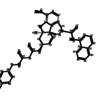 COc1ccc2c3c1O[C@@H]1C[C@H](OC(=O)CC(=O)OCc4ccc(I)cc4)C=C[C@@]31CCN(C(=O)Nc1cccc3ccccc13)C2